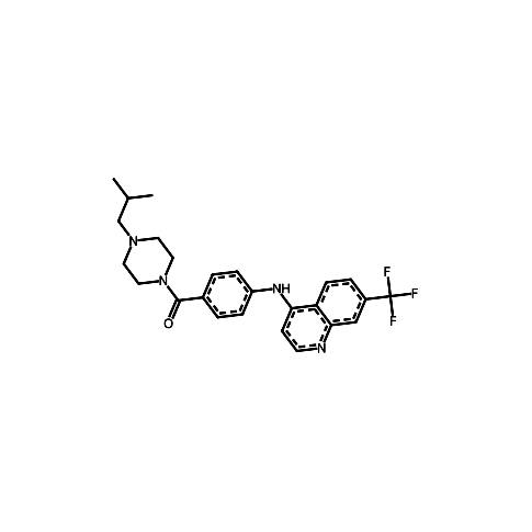 CC(C)CN1CCN(C(=O)c2ccc(Nc3ccnc4cc(C(F)(F)F)ccc34)cc2)CC1